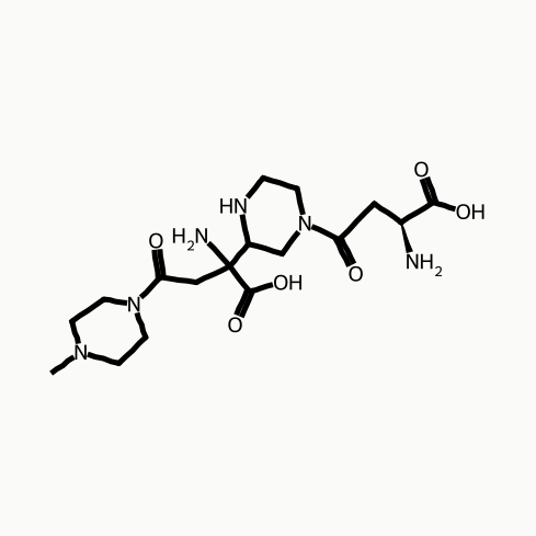 CN1CCN(C(=O)CC(N)(C(=O)O)C2CN(C(=O)C[C@H](N)C(=O)O)CCN2)CC1